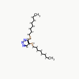 CCCCCCCCSc1cnnnc1SCCCCCCCC